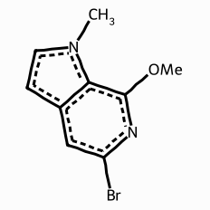 COc1nc(Br)cc2ccn(C)c12